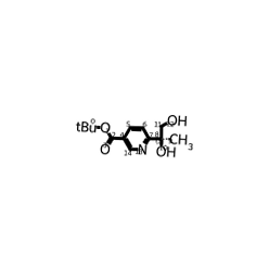 CC(C)(C)OC(=O)c1ccc([C@](C)(O)CO)nc1